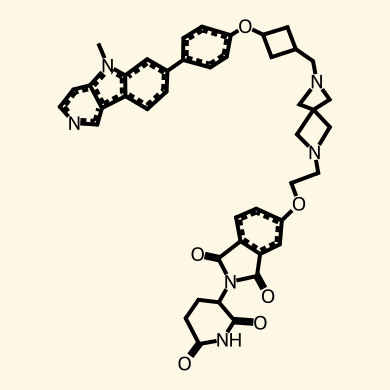 Cn1c2ccncc2c2ccc(-c3ccc(OC4CC(CN5CC6(CN(CCOc7ccc8c(c7)C(=O)N(C7CCC(=O)NC7=O)C8=O)C6)C5)C4)cc3)cc21